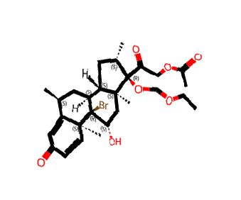 CCOCO[C@]1(C(=O)COC(C)=O)[C@@H](C)C[C@H]2[C@@H]3C[C@H](C)C4=CC(=O)C=C[C@]4(C)[C@@]3(Br)[C@@H](O)C[C@@]21C